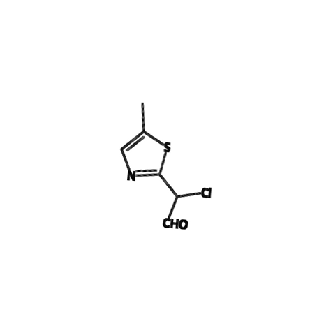 Cc1cnc(C(Cl)C=O)s1